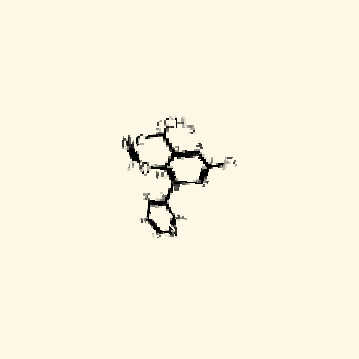 CC(C)c1cc(F)cc(-c2cccnc2)c1OC#N